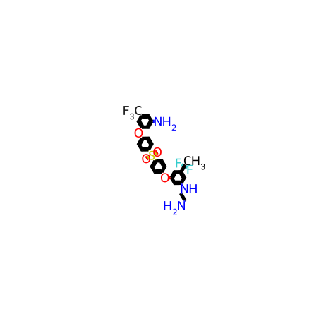 CC(F)(F)c1cc(NCCN)cc(Oc2ccc(S(=O)(=O)c3ccc(Oc4cc(N)cc(C(F)(F)F)c4)cc3)cc2)c1